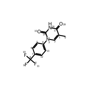 Cc1cn(-c2ccc(C(F)(F)F)cc2)c(=O)[nH]c1=O